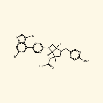 COc1ccc(CN2CC(C)(OC(N)=O)[C@H]3[C@@H]2CN3c2ccc(-c3cc(Br)cn4ncc(C#N)c34)cn2)cn1